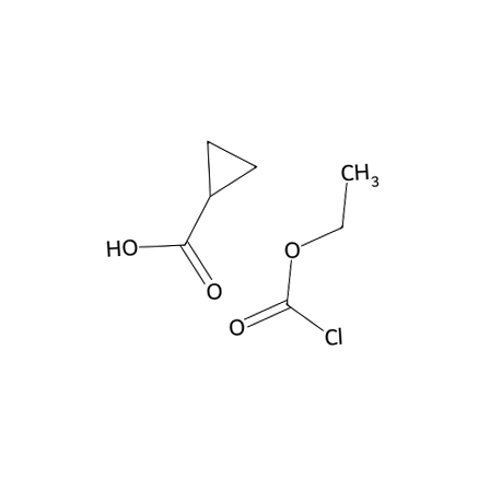 CCOC(=O)Cl.O=C(O)C1CC1